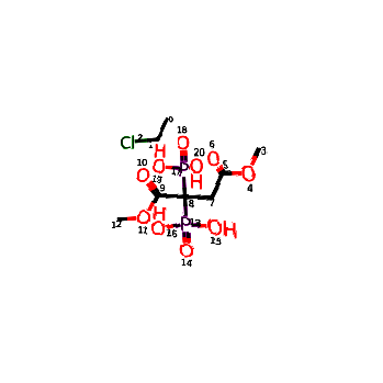 CCCl.COC(=O)CC(C(=O)OC)(P(=O)(O)O)P(=O)(O)O